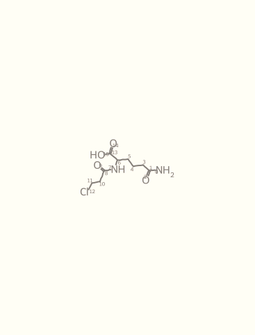 NC(=O)CCCC(NC(=O)CCCl)C(=O)O